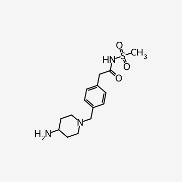 CS(=O)(=O)NC(=O)Cc1ccc(CN2CCC(N)CC2)cc1